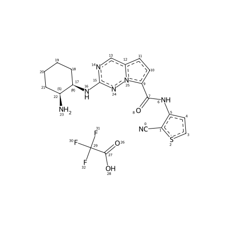 N#Cc1sccc1NC(=O)c1ccc2cnc(N[C@@H]3CCCC[C@@H]3N)nn12.O=C(O)C(F)(F)F